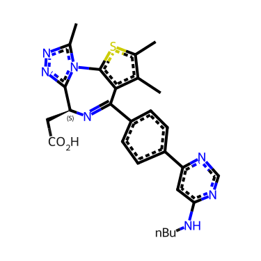 CCCCNc1cc(-c2ccc(C3=N[C@@H](CC(=O)O)c4nnc(C)n4-c4sc(C)c(C)c43)cc2)ncn1